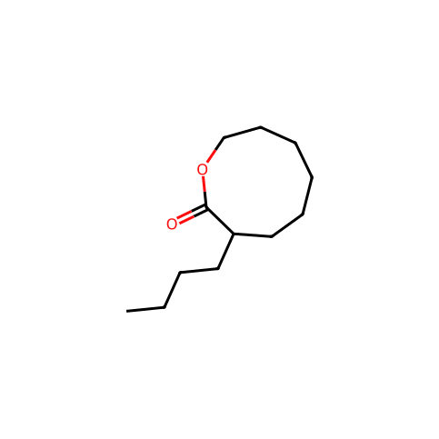 CCCCC1CCCCCCOC1=O